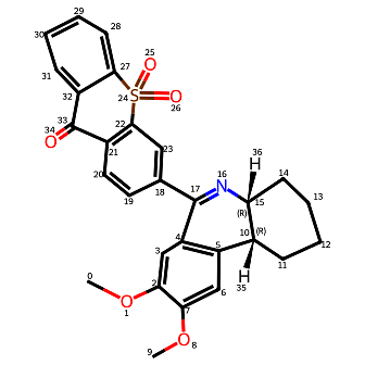 COc1cc2c(cc1OC)[C@H]1CCCC[C@H]1N=C2c1ccc2c(c1)S(=O)(=O)c1ccccc1C2=O